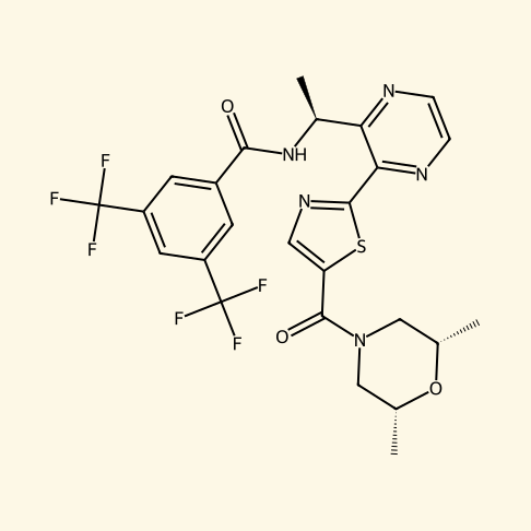 C[C@@H]1CN(C(=O)c2cnc(-c3nccnc3[C@H](C)NC(=O)c3cc(C(F)(F)F)cc(C(F)(F)F)c3)s2)C[C@H](C)O1